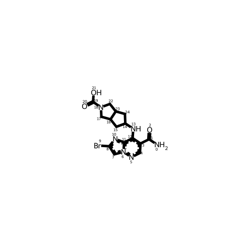 NC(=O)c1cnn2cc(Br)nc2c1NC1CC2CN(C(=O)O)CC2C1